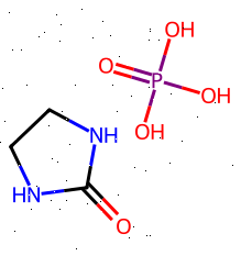 O=C1NCCN1.O=P(O)(O)O